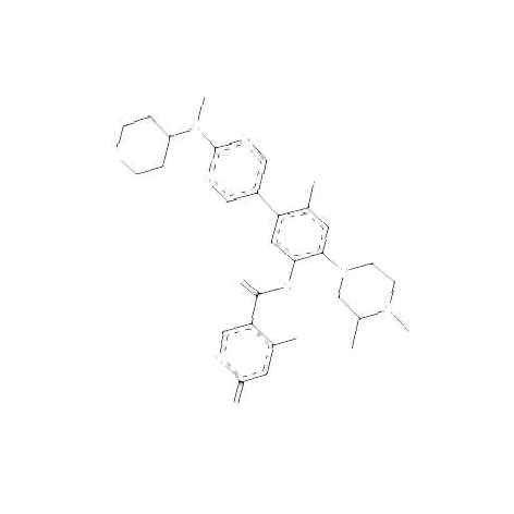 CC1CN(c2cc(F)c(-c3cnc(N(C)C4CCOCC4)nc3)cc2NC(=O)c2c[nH]c(=O)cc2C(F)(F)F)CCN1C